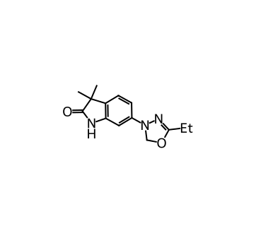 CCC1=NN(c2ccc3c(c2)NC(=O)C3(C)C)CO1